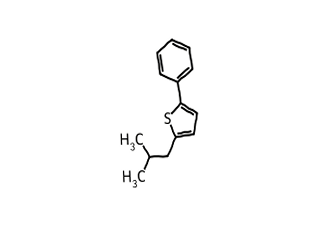 CC(C)Cc1ccc(-c2ccccc2)s1